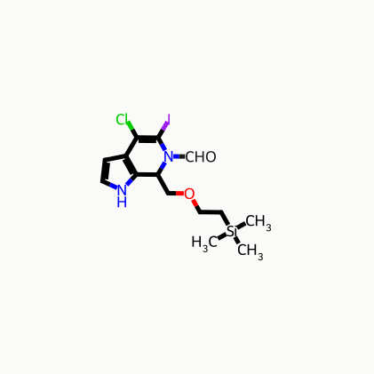 C[Si](C)(C)CCOCC1c2[nH]ccc2C(Cl)=C(I)N1C=O